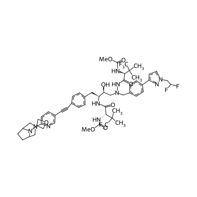 COC(=O)N[C@H](C(=O)N[C@@H](Cc1ccc(C#Cc2ccc(N3CC4CCC(C3)N4C3COC3)nc2)cc1)[C@@H](O)CN(Cc1ccc(-c2ccn(CC(F)F)n2)cc1)NC(=O)[C@@H](NC(=O)OC)C(C)(C)C(F)(F)F)C(C)(C)C(F)(F)F